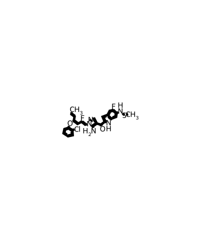 C/C=C/C(=C\C(F)=C\n1ncc(C(=O)c2cc3cc(F)c(NSC)cc3[nH]2)c1N)Oc1ccccc1Cl